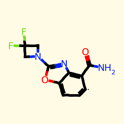 NC(=O)c1[c]ccc2oc(N3CC(F)(F)C3)nc12